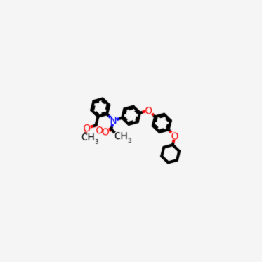 COC(=O)c1ccccc1N(C(C)=O)c1ccc(Oc2ccc(OC3CCCCC3)cc2)cc1